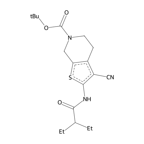 CCC(CC)C(=O)Nc1sc2c(c1C#N)CCN(C(=O)OC(C)(C)C)C2